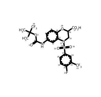 CC(C)(OC(=O)Nc1ccc2c(c1)N(S(=O)(=O)c1ccc(F)c(C(F)(F)F)c1)CC(C(=O)O)O2)C(F)(F)F